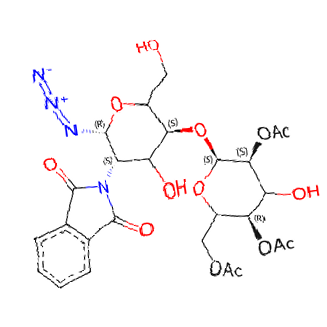 CC(=O)OCC1O[C@@H](O[C@@H]2C(CO)O[C@@H](N=[N+]=[N-])[C@@H](N3C(=O)c4ccccc4C3=O)C2O)[C@@H](OC(C)=O)C(O)[C@H]1OC(C)=O